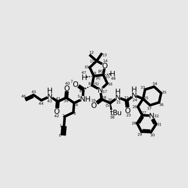 C#CCCC(NC(=O)[C@@H]1[C@H]2CC(C)(C)O[C@H]2CN1C(=O)[C@@H](NC(=O)NC1(Cc2ccccn2)CCCCC1)C(C)(C)C)C(=O)C(=O)NCC=C